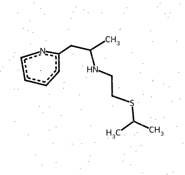 CC(Cc1ccccn1)NCCSC(C)C